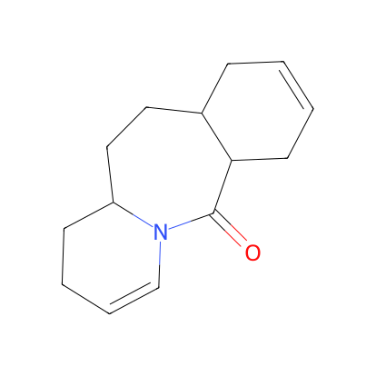 O=C1C2CC=CCC2CCC2CCC=CN12